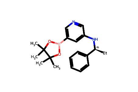 CC[C@H](Nc1cncc(B2OC(C)(C)C(C)(C)O2)c1)c1ccccc1